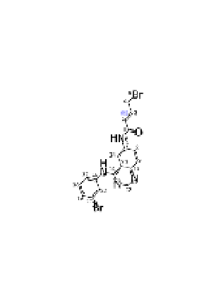 O=C(/C=C/CBr)Nc1ccc2ncnc(Nc3cccc(Br)c3)c2c1